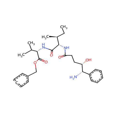 CC[C@H](C)[C@H](NC(=O)CC[C@H](O)[C@@H](N)c1ccccc1)C(=O)N[C@H](C(=O)OCc1ccccc1)C(C)C